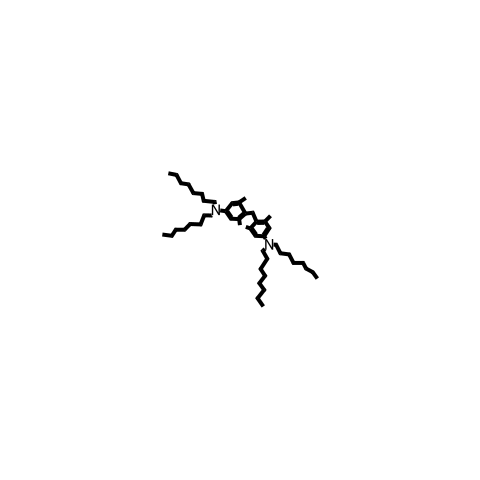 CCCCCCCCN(CCCCCCCC)c1cc(C)c(Cc2c(C)cc(N(CCCCCCCC)CCCCCCCC)cc2C)c(C)c1